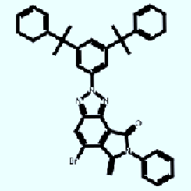 C=C1c2c(Br)cc3nn(-c4cc(C(C)(C)C5=CCCC=C5)cc(C(C)(C)C5=CC=CCC5)c4)nc3c2C(=O)N1c1ccccc1